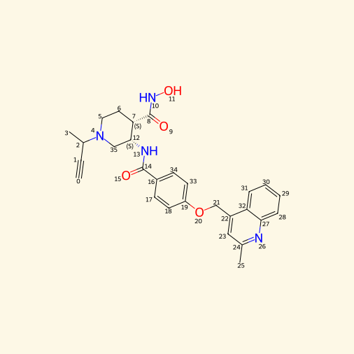 C#CC(C)N1CC[C@H](C(=O)NO)[C@H](NC(=O)c2ccc(OCc3cc(C)nc4ccccc34)cc2)C1